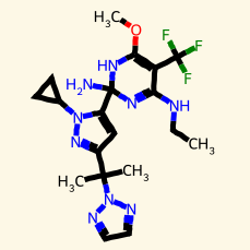 CCNC1=NC(N)(c2cc(C(C)(C)n3nccn3)nn2C2CC2)NC(OC)=C1C(F)(F)F